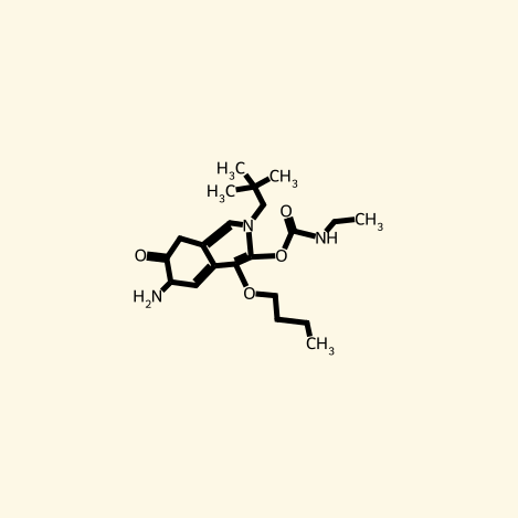 CCCCOC1=C(OC(=O)NCC)N(CC(C)(C)C)C=C2CC(=O)C(N)C=C21